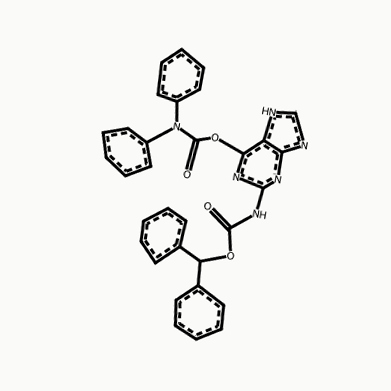 O=C(Nc1nc(OC(=O)N(c2ccccc2)c2ccccc2)c2[nH][c]nc2n1)OC(c1ccccc1)c1ccccc1